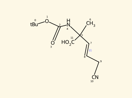 CC(C)(C)OC(=O)NC(C)(/C=C/CC#N)C(=O)O